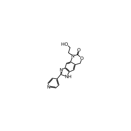 O=C1OCc2cc3[nH]c(-c4ccncc4)nc3cc2N1CCO